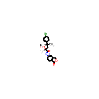 CC(C)(CC(O)(C(=O)Nc1ccc2c(c1)COC2=O)C(F)(F)F)c1ccc(Br)cc1